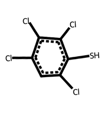 Sc1c(Cl)cc(Cl)c(Cl)c1Cl